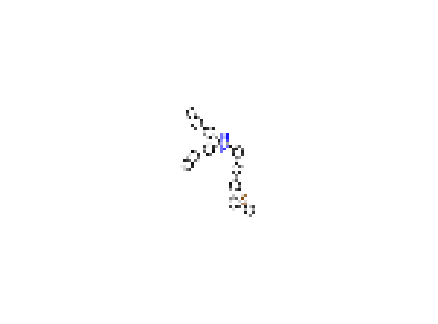 c1cc(-c2ccc(-c3ccc(-c4cccc5c4sc4ccccc45)cc3)cc2)cc(-c2cnc3c4ccc(-c5ccc6ccccc6c5)cc4c4cc(-c5ccc6ccccc6c5)ccc4c3n2)c1